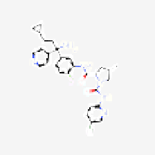 C[C@@H]1C[C@H](C(=O)Nc2cc(C(N)(CCC3CC3)c3ccncc3)ccc2F)N(C(=O)Nc2ccc(Cl)cn2)C1